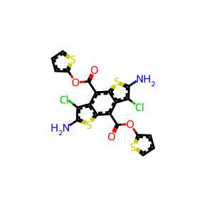 Nc1sc2c(C(=O)Oc3cccs3)c3c(Cl)c(N)sc3c(C(=O)Oc3cccs3)c2c1Cl